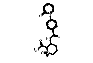 NC(=O)C1C(NC(=O)c2ccc(-n3ccccc3=O)cc2)[CH]CCS1(=O)=O